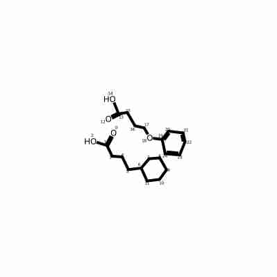 O=C(O)CCCC1CCCCC1.O=C(O)CCCOc1ccccc1